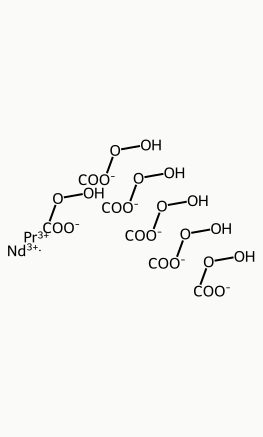 O=C([O-])OO.O=C([O-])OO.O=C([O-])OO.O=C([O-])OO.O=C([O-])OO.O=C([O-])OO.[Nd+3].[Pr+3]